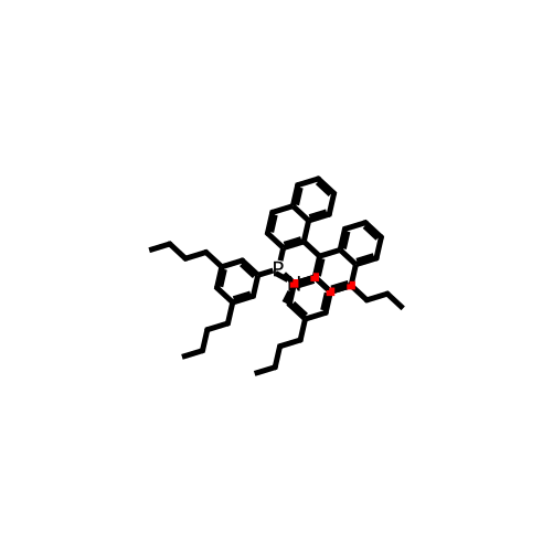 CCCCc1cc(CCCC)cc(P(c2cc(CCCC)cc(CCCC)c2)c2ccc3ccccc3c2-c2c(N(C)C)ccc3ccccc23)c1